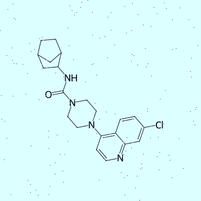 O=C(NC1CC2CCC1C2)N1CCN(c2ccnc3cc(Cl)ccc23)CC1